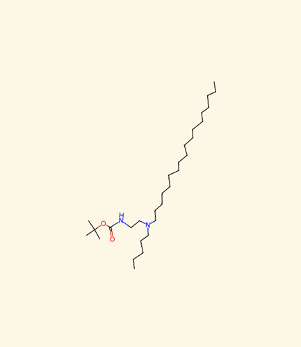 CCCCCCCCCCCCCCCCCCN(CCCCC)CCNC(=O)OC(C)(C)C